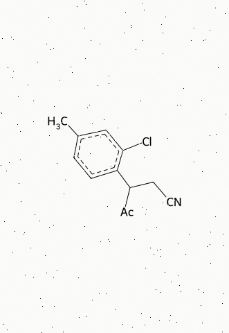 CC(=O)C(CC#N)c1ccc(C)cc1Cl